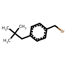 CC(C)(C)Cc1ccc(CBr)cc1